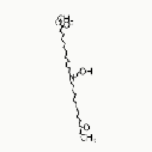 CCC(=O)CCCCCCCCCCCN(CCO)CCCCCCCCCCCC(=O)OC